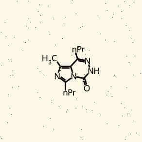 CCCc1n[nH]c(=O)n2c(CCC)nc(C)c12